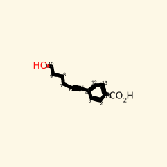 O=C(O)c1ccc(C#CCCCCO)cc1